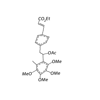 CCOC(=O)C=Cc1ccc(CC(OC(C)=O)c2c(C)c(OC)c(OC)c(OC)c2OC)cc1